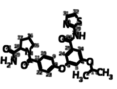 CC(C)Oc1cc(Oc2ccc(C(=O)N3CCCC3C(N)=O)cc2)cc(C(=O)Nc2nccs2)c1